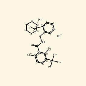 Cl.O=C(NCc1ccccc1[C@@H]1CC2CCN1CC2)c1c(Cl)ccc(C(F)(F)F)c1Cl